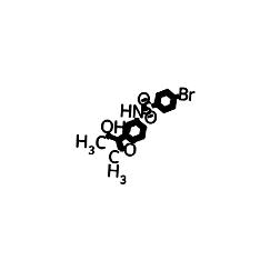 Cc1oc2ccc(NS(=O)(=O)c3ccc(Br)cc3)cc2c1C(C)O